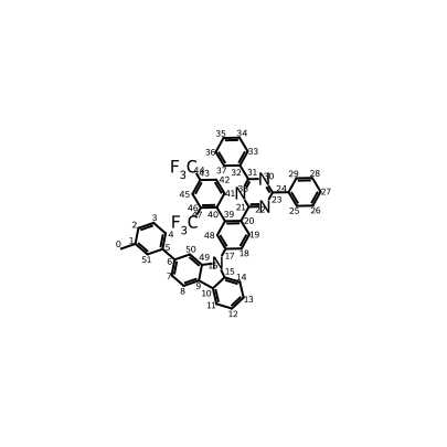 Cc1cccc(-c2ccc3c4ccccc4n(-c4ccc(-c5nc(-c6ccccc6)nc(-c6ccccc6)n5)c(-c5ccc(C(F)(F)F)cc5C(F)(F)F)c4)c3c2)c1